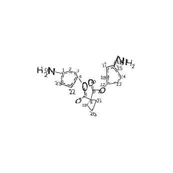 Nc1ccc(OC(=O)C2(C(=O)Oc3ccc(N)cc3)CCC2)cc1